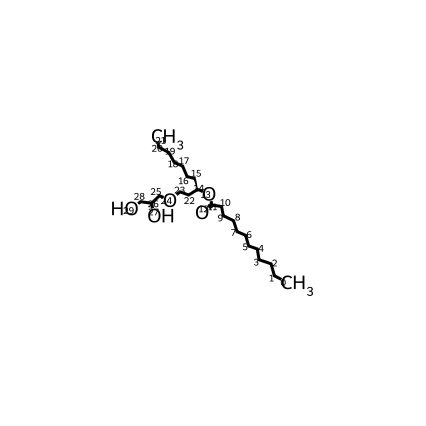 CCCCCCCCCCCC(=O)O[C@H](CCCCCCC)CCOCC(O)CO